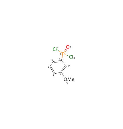 COc1cccc(P(=O)(Cl)Cl)c1